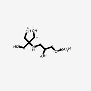 O=S(=O)(O)OCC(O)CNC(CO)(CO)CO